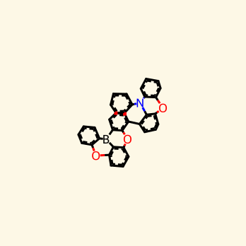 c1ccc(N2c3ccccc3Oc3cccc(-c4cccc5c4Oc4cccc6c4B5c4ccccc4O6)c32)cc1